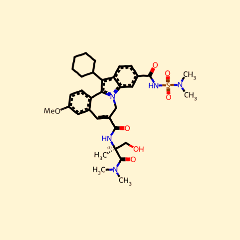 COc1ccc2c(c1)C=C(C(=O)N[C@@](C)(CO)C(=O)N(C)C)Cn1c-2c(C2CCCCC2)c2ccc(C(=O)NS(=O)(=O)N(C)C)cc21